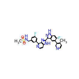 Cc1ccncc1-c1cc2c(-c3nc4c(-c5cc(F)cc(CNS(C)(=O)=O)c5)nccc4[nH]3)n[nH]c2cc1F